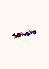 O=C(c1ccc(OCCCN2CCN(C(=O)CN3CCCC3)CC2)cc1)C1CC1